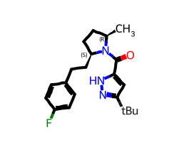 C[C@@H]1CC[C@H](CCc2ccc(F)cc2)N1C(=O)c1cc(C(C)(C)C)n[nH]1